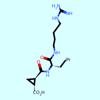 CC(C)C[C@H](NC(=O)[C@@H]1C[C@H]1C(=O)O)C(=O)NCCCCNC(=N)N